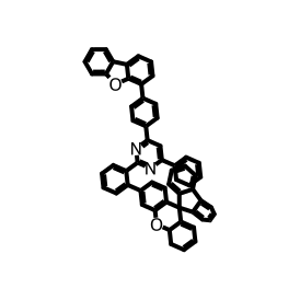 C1=CCCC(c2cc(-c3ccc(-c4cccc5c4oc4ccccc45)cc3)nc(-c3ccccc3-c3ccc4c(c3)OC3CC=CC=C3C43c4ccccc4-c4ccccc43)n2)=C1